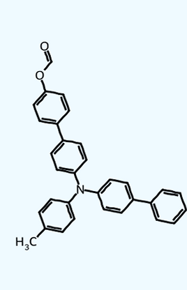 Cc1ccc(N(c2ccc(-c3ccccc3)cc2)c2ccc(-c3ccc(OC=O)cc3)cc2)cc1